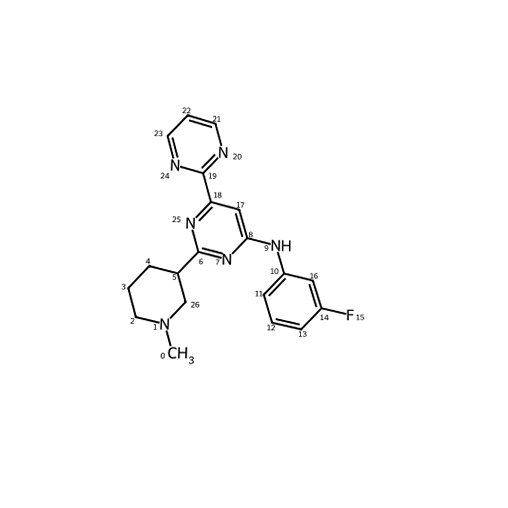 CN1CCCC(c2nc(Nc3cccc(F)c3)cc(-c3ncccn3)n2)C1